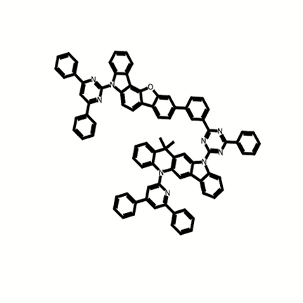 CC1(C)c2ccccc2N(c2cc(-c3ccccc3)cc(-c3ccccc3)n2)c2cc3c4ccccc4n(-c4nc(-c5ccccc5)nc(-c5cccc(-c6ccc7c(c6)oc6c7ccc7c6c6ccccc6n7-c6nc(-c7ccccc7)cc(-c7ccccc7)n6)c5)n4)c3cc21